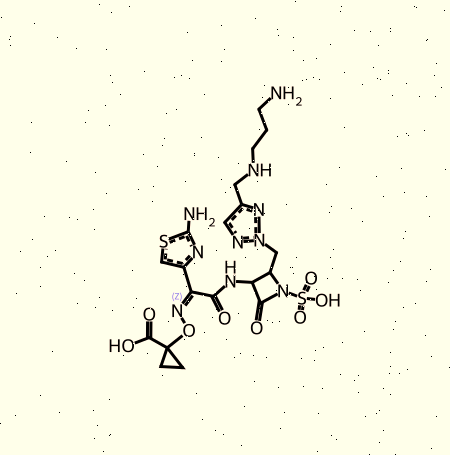 NCCCNCc1cnn(CC2C(NC(=O)/C(=N\OC3(C(=O)O)CC3)c3csc(N)n3)C(=O)N2S(=O)(=O)O)n1